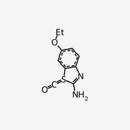 CCOc1ccc2c(c1)S(=C=O)C(N)=N2